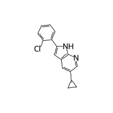 Clc1ccccc1-c1cc2cc([C]3CC3)cnc2[nH]1